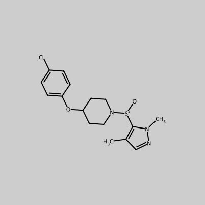 Cc1cnn(C)c1[S+]([O-])N1CCC(Oc2ccc(Cl)cc2)CC1